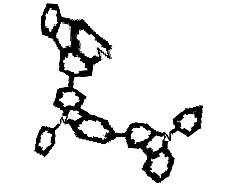 c1ccc(-n2c3ccccc3c3cc(-c4ccc5c(c4)c4cc(-c6cc7c8c(ccnc8c6)-c6ccccc6-7)ccc4n5-c4ccccc4)ccc32)cc1